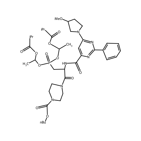 CCCCOC(=O)N1CCN(C(=O)C(CP(=O)(OC(C)OC(=O)C(C)C)OC(C)OC(=O)C(C)C)NC(=O)c2cc(N3CCC(OC)C3)nc(-c3ccccc3)n2)CC1